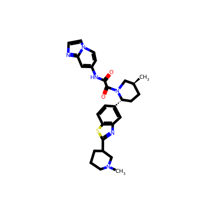 C[C@H]1CC[C@H](c2ccc3sc(C4CCCN(C)C4)nc3c2)N(C(=O)C(=O)Nc2ccn3ccnc3c2)C1